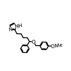 COc1ccc(COC(CCCCc2ncc[nH]2)c2ccccc2)cc1